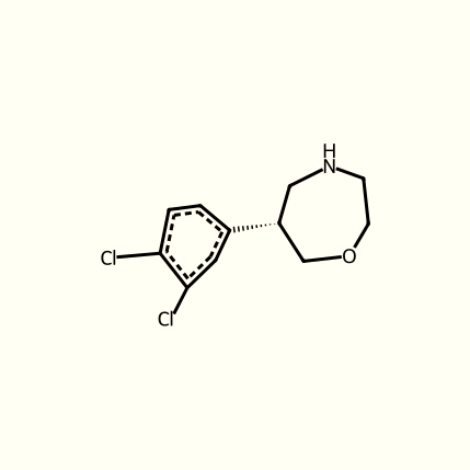 Clc1ccc([C@@H]2CNCCOC2)cc1Cl